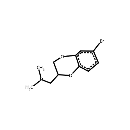 CN(C)CC1COc2cc(Br)ccc2O1